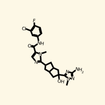 Cn1nc(N)nc1C1(O)CC2CC(c3ncc(C(=O)Nc4ccc(F)c(Cl)c4)n3C)CC2C1